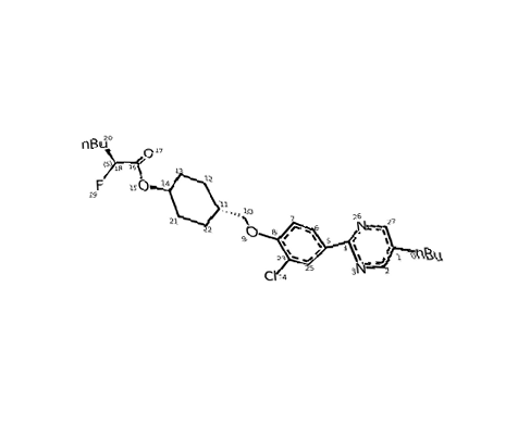 CCCCc1cnc(-c2ccc(OC[C@H]3CC[C@H](OC(=O)[C@@H](F)CCCC)CC3)c(Cl)c2)nc1